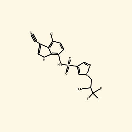 N#Cc1c[nH]c2c(NS(=O)(=O)c3cnn(CC(N)C(F)(F)F)c3)ccc(Cl)c12